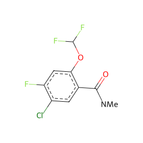 CNC(=O)c1cc(Cl)c(F)cc1OC(F)F